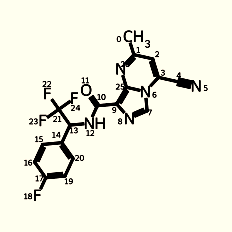 Cc1cc(C#N)n2cnc(C(=O)NC(c3ccc(F)cc3)C(F)(F)F)c2n1